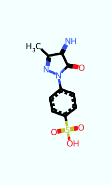 CC1=NN(c2ccc(S(=O)(=O)O)cc2)C(=O)C1=N